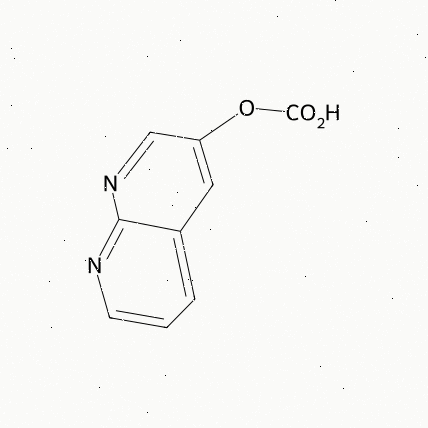 O=C(O)Oc1cnc2ncccc2c1